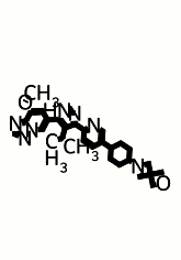 COc1cc(-c2[nH]nc(-c3ccc(C4CCC(N5CC6(COC6)C5)CC4)cn3)c2C(C)C)cn2ncnc12